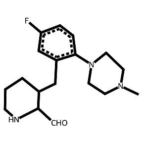 CN1CCN(c2ccc(F)cc2CC2CCCNC2C=O)CC1